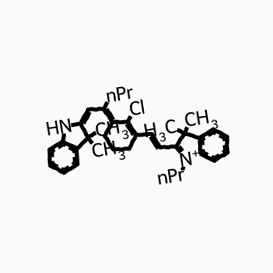 CCCC(C=C1Nc2ccccc2C1(C)C)=C1CCCC(C=CC2=[N+](CCC)c3ccccc3C2(C)C)=C1Cl